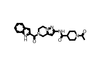 CC(=O)N1CCC(C(=O)Nc2cc3n(n2)CCN(C(=O)c2cc4ccccc4[nH]2)C3)CC1